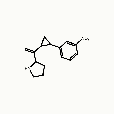 C=C(C1CCCN1)C1CC1c1cccc([N+](=O)[O-])c1